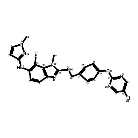 Cn1ccc(Nc2ccc3nc(NCc4ccc(Oc5ncc(Cl)cn5)cc4)n(C)c3c2F)n1